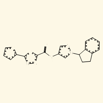 O=C(Nc1cnn(C2CCc3ccccc32)c1)c1nnc(-c2ccco2)o1